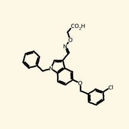 O=C(O)CO/N=C/c1cn(Cc2ccccc2)c2ccc(OCc3cccc(Cl)c3)cc12